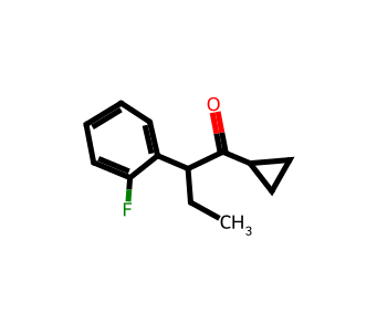 CCC(C(=O)C1CC1)c1ccccc1F